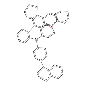 c1ccc(-c2ccc(N(c3ccc(-c4cccc5ccccc45)cc3)c3ccccc3-c3cc4ccccc4c4ccccc34)cc2)cc1